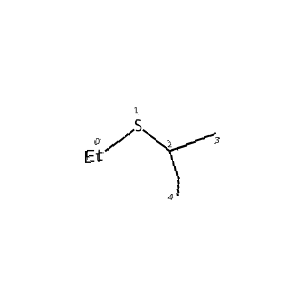 CCSC(C)C